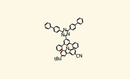 CC(C)(C)c1ccc2c(c1)c1cc(C#N)ccc1n2-c1c(-c2ccccc2)cc(-c2nc(-c3ccc(-c4ccccc4)cc3)nc(-c3ccc(-c4ccccc4)cc3)n2)cc1-c1ccccc1